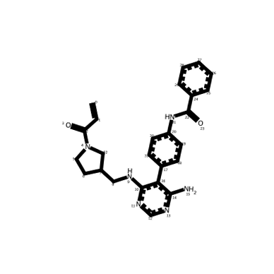 C=CC(=O)N1CCC(CNc2ncnc(N)c2-c2ccc(NC(=O)c3ccccc3)cc2)C1